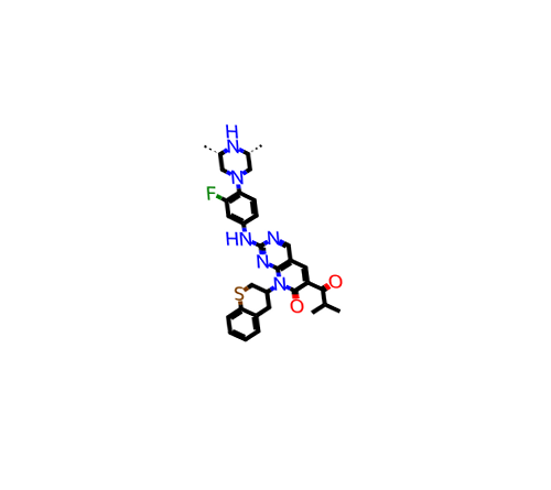 CC(C)C(=O)c1cc2cnc(Nc3ccc(N4C[C@@H](C)N[C@@H](C)C4)c(F)c3)nc2n(C2CSc3ccccc3C2)c1=O